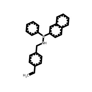 C=Cc1ccc(CNN(c2ccccc2)c2ccc3ccccc3c2)cc1